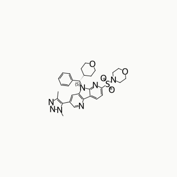 Cc1nnn(C)c1-c1cnc2c3ccc(S(=O)(=O)N4CCOCC4)nc3n([C@H](c3ccccc3)C3CCOCC3)c2c1